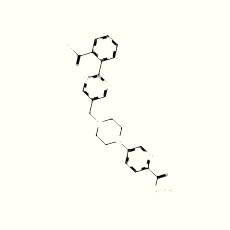 CNC(=O)c1ccc(N2CCN(Cc3cnc(-c4ccccc4C(N)=O)nc3)CC2)cn1